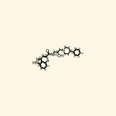 O=C(NCC(O)CN1CCC(c2ccccc2)CC1)C1=Cc2n[nH]c3cccc(c23)S1